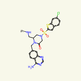 CC(C)NCC1CN(S(=O)(=O)c2cc3ccc(Cl)cc3s2)CC(=O)N1Cc1ccc2c(N)ncnc2c1